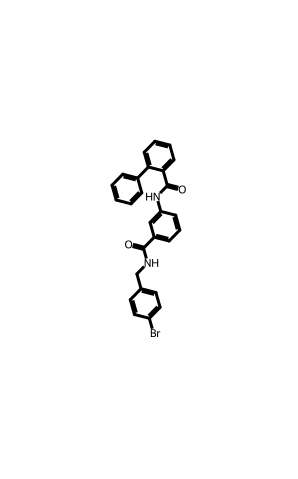 O=C(NCc1ccc(Br)cc1)c1cccc(NC(=O)c2ccccc2-c2ccccc2)c1